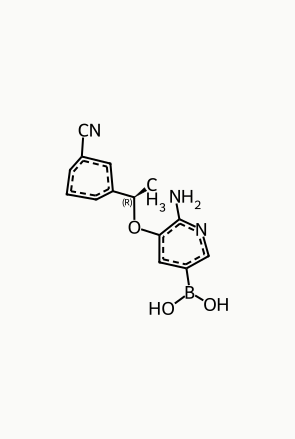 C[C@@H](Oc1cc(B(O)O)cnc1N)c1cccc(C#N)c1